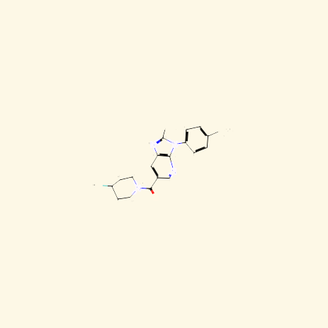 COc1ccc(-n2c(C)nc3cc(C(=O)N4CCC(F)CC4)cnc32)cc1